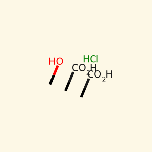 CC(=O)O.CC(=O)O.CO.Cl